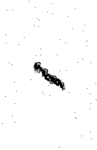 O=C(C=C1CCN(S(=O)(=O)c2ccc(OCF)cc2)CC1)NCC1CCCO1